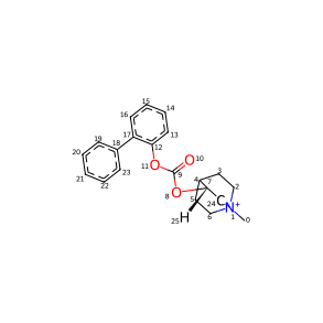 C[N+]12CCC(CC1)[C@@H](OC(=O)Oc1ccccc1-c1ccccc1)C2